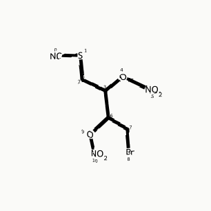 N#CSCC(O[N+](=O)[O-])C(CBr)O[N+](=O)[O-]